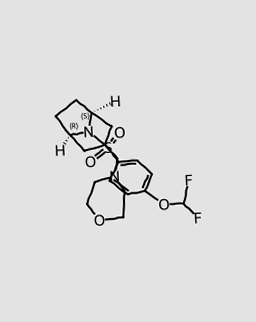 O=S(=O)(c1ccc(OC(F)F)cc1)N1[C@@H]2CC[C@H]1CC(CN1CCOCC1)C2